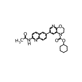 CC(=O)Nc1ccc2cc(-c3cnc4c(c3)N(C(=O)OC3CCCCC3)CCO4)ccc2n1